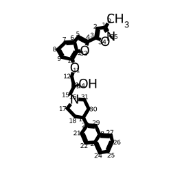 Cc1cc(-c2cc3cccc(OC[C@@H](O)CN4CCC(c5ccc6ccccc6c5)CC4)c3o2)on1